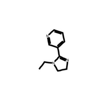 CCN1CCN=C1c1cccnc1